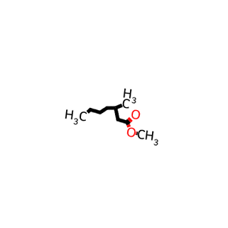 CCCCC(C)CC(=O)OC